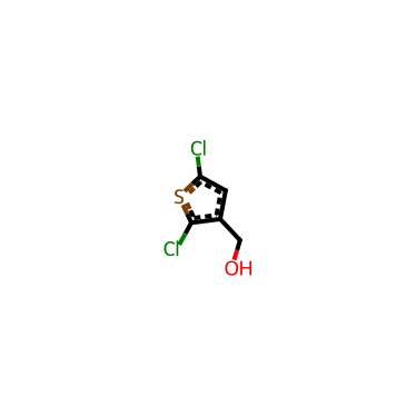 OCc1cc(Cl)sc1Cl